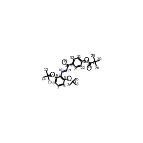 CC(C)(C)Oc1cccc(OC(C)(C)C)c1/C=C/C(=O)c1ccc(OC(=O)C(C)(C)C)cc1